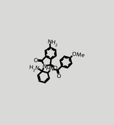 COc1ccc(C(=O)NC2C=CC=CC2(N)N2C(=O)c3ccc(N)cc3C2=O)cc1